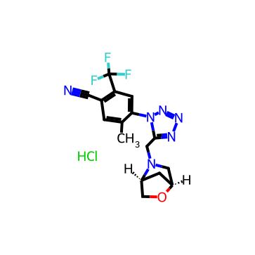 Cc1cc(C#N)c(C(F)(F)F)cc1-n1nnnc1CN1C[C@@H]2C[C@H]1CO2.Cl